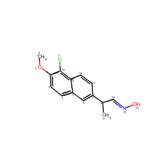 COc1ccc2cc(C(C)C=NO)ccc2c1Cl